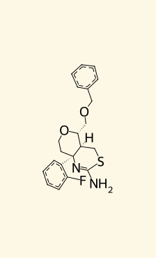 NC1=N[C@@]2(c3ccccc3F)CCO[C@H](COCc3ccccc3)[C@H]2CS1